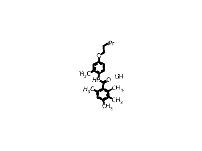 Cc1cc(OCCC(C)C)ccc1PC(=O)c1c(C)cc(C)c(C)c1C.[LiH]